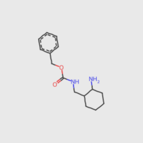 NC1CCCCC1CNC(=O)OCc1ccccc1